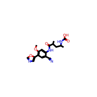 COc1cc(NC(=O)C(C)CC(C)NC(=O)O)c(C#N)cc1-c1cnco1